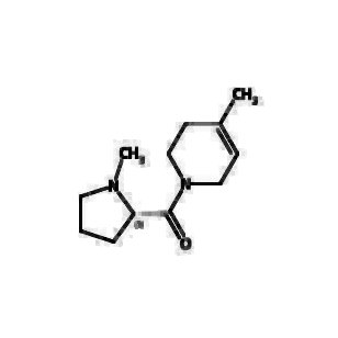 CC1=CCN(C(=O)[C@@H]2CCCN2C)CC1